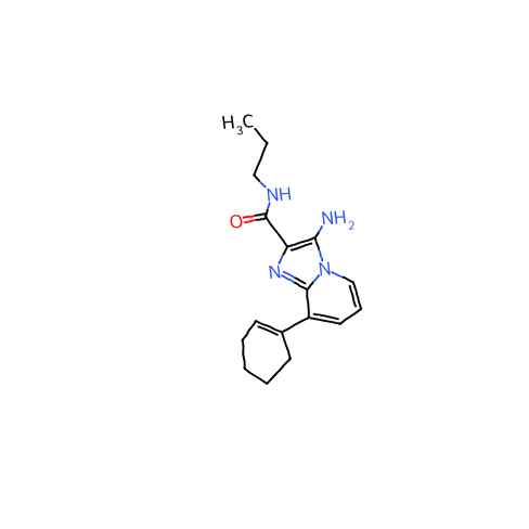 CCCNC(=O)c1nc2c(C3=CCCCC3)cccn2c1N